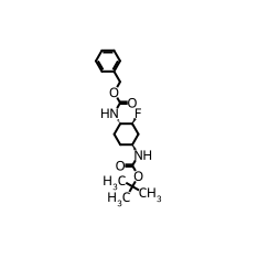 CC(C)(C)OC(=O)N[C@H]1CC[C@H](NC(=O)OCc2ccccc2)[C@@H](F)C1